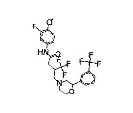 O=C(CC(CN1CCOC(c2cccc(C(F)(F)F)c2)C1)C(F)(F)F)Nc1ccc(Cl)c(F)c1